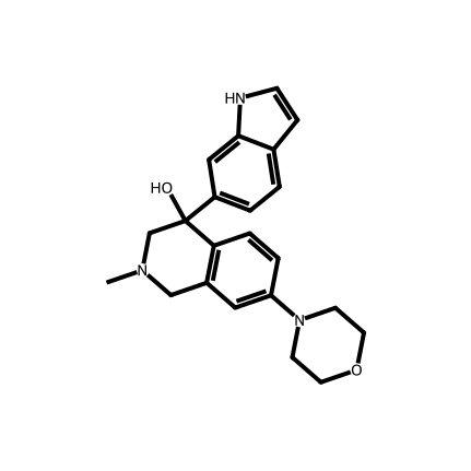 CN1Cc2cc(N3CCOCC3)ccc2C(O)(c2ccc3cc[nH]c3c2)C1